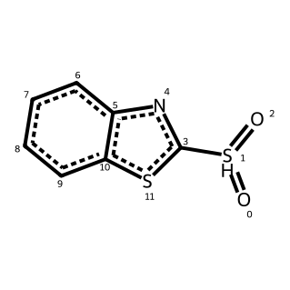 O=[SH](=O)c1nc2ccccc2s1